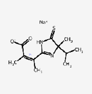 C/C(C(=O)[O-])=C(\C)C1=NC(C)(C(C)C)C(=S)N1.[Na+]